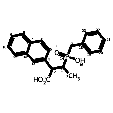 CC(C(C(=O)O)c1ccc2ccccc2c1)P(=O)(O)Cc1ccccc1